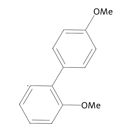 COc1ccc(-c2[c]cccc2OC)cc1